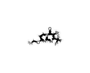 [2H]COc1ccn2c(=O)c(Br)c(C(F)(F)F)nc2n1